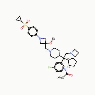 CCOC1(CN2CCC([C@@](CN3CCC3)(c3cccc(F)c3)[C@H]3CCC[C@@H]3NC(=O)OC)CC2)CN(c2ccc(S(=O)(=O)C3CC3)cc2)C1